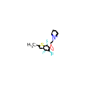 Cc1cc2c(F)c(F)c(OCC[n+]3ccccc3)c(F)c2s1